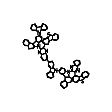 c1ccc2c(c1)ccc1c2c2cc(-n3c4ccccc4c4ccccc43)ccc2n1-c1nc2ccc(-c3ccc4c(c3)c3ccccc3n4-c3ccc4c(c3)c3c5ccccc5ccc3n4-c3nc4ccccc4nc3-c3cccc4sc5ccccc5c34)cc2nc1-c1ccc2sc3ccccc3c2c1